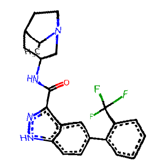 CC1C2CCN1CC(NC(=O)c1n[nH]c3ccc(-c4ccccc4C(F)(F)F)cc13)C2